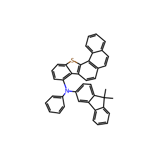 CC1(C)c2ccccc2-c2cc(N(c3ccccc3)c3cccc4sc5c(ccc6ccc7ccccc7c65)c34)ccc21